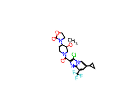 CO[C@H]1CN(C(=O)c2nc3c(C(F)(F)F)cc(C4CC4)cn3c2Cl)CCC1N1CCOC1=O